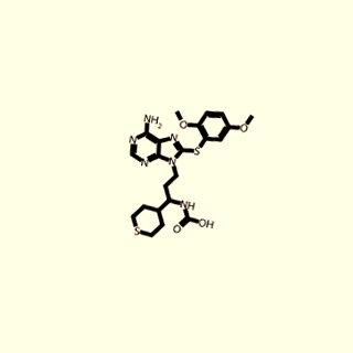 COc1ccc(OC)c(Sc2nc3c(N)ncnc3n2CCC(NC(=O)O)C2CCSCC2)c1